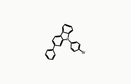 Brc1ccc(-n2c3ccccc3c3ccc(-c4ccccc4)cc32)cc1